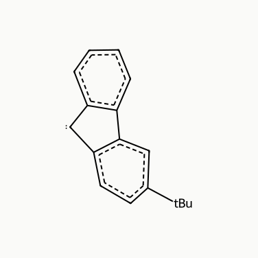 CC(C)(C)c1ccc2c(c1)-c1ccccc1[C]2